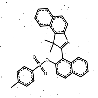 Cc1ccc(S(=O)(=O)Oc2ccc3ccccc3c2C2=Nc3ccc4ccccc4c3C2(C)C)cc1